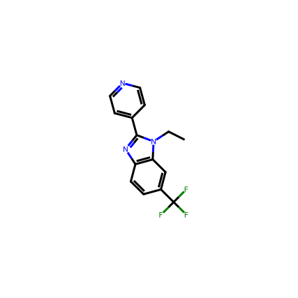 CCn1c(-c2ccncc2)nc2ccc(C(F)(F)F)cc21